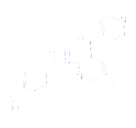 CCOc1ccc(S(=O)(=O)Nc2ncc(Cl)cc2C(=O)c2ccncc2)cc1